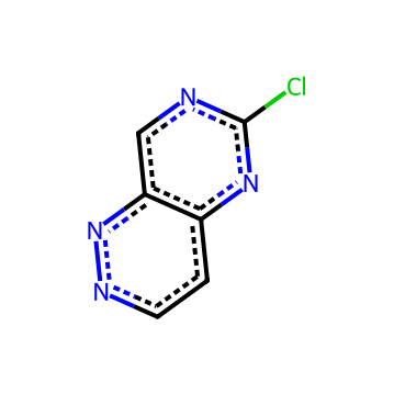 Clc1ncc2nnccc2n1